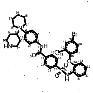 O=C(Nc1ccc([N+]2(C3CCNCC3)CCCCC2)cc1)c1ccc(S(=O)(=O)Nc2ccccc2Oc2ccc(Br)cc2Cl)cc1